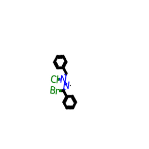 ClN(Cc1ccccc1)[N]C(Br)c1ccccc1